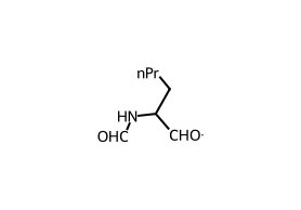 CCCCC([C]=O)NC=O